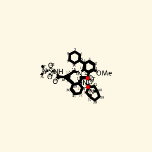 COc1ccc(C2CCCCC2)c2c1cc1n2CC2=C(C(=O)NS(=O)(=O)N(C)C)C2=C2C=CC[C@@H](C(=O)N3C4CCC3CC(NC(C)C)C4)C21